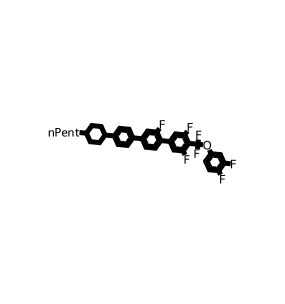 CCCCCC1CCC(c2ccc(-c3ccc(-c4cc(F)c(C(F)(F)Oc5ccc(F)c(F)c5)c(F)c4)c(F)c3)cc2)CC1